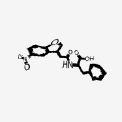 O=C(CC1COc2ccc([N+](=O)[O-])cc21)NC(Cc1ccccc1)C(=O)O